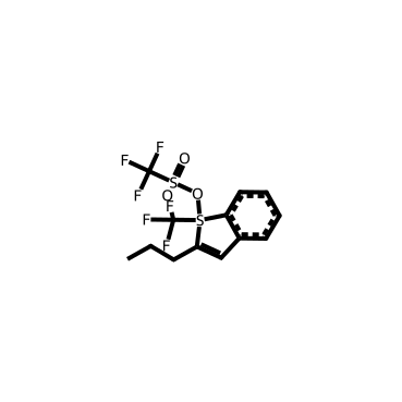 CCCC1=Cc2ccccc2S1(OS(=O)(=O)C(F)(F)F)C(F)(F)F